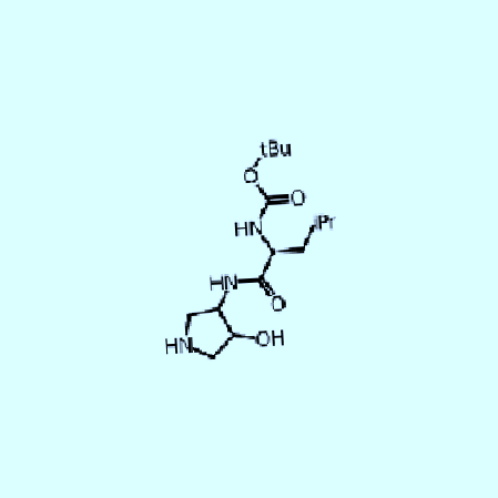 CC(C)C[C@H](NC(=O)OC(C)(C)C)C(=O)NC1CNCC1O